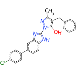 Cc1nn(-c2nc3cc(-c4ccc(Cl)cc4)ccc3[nH]2)c(O)c1Cc1ccccc1